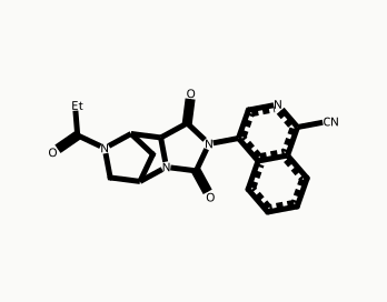 CCC(=O)N1CC2CC1C1C(=O)N(c3cnc(C#N)c4ccccc34)C(=O)N21